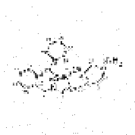 Nc1ccc(OC2=CN(Cc3ccccc3)S(Cc3ccccc3)=C2)c(C(F)(F)F)c1